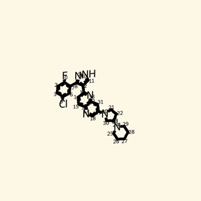 Fc1ccc(Cl)cc1-c1n[nH]cc1-c1ccc2ncc(N3CC[C@@H](N4CCCCC4)C3)cc2n1